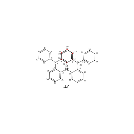 [Li+].c1ccc(P(c2ccccc2)c2ccccc2[N-]c2ccccc2P(c2ccccc2)c2ccccc2)cc1